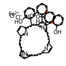 Oc1ccccc1-c1c(-c2ccccc2O)c2c(-c3ccccc3O)c3nc(cc4ccc(cc5nc(cc1n2-c1ccccc1O)C=C5)[nH]4)C=C3.[Cl-].[Cl-].[Fe+2]